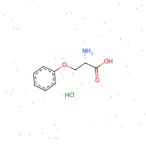 Cl.N[C@@H](COc1ccccc1)C(=O)O